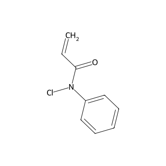 C=CC(=O)N(Cl)c1ccccc1